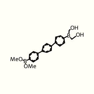 COB(OC)c1ccc(-c2ccc(-c3ccc(B(CO)CO)cc3)cc2)cc1